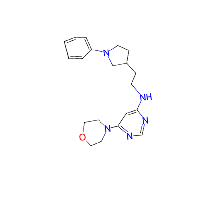 c1ccc(N2CCC(CCNc3cc(N4CCOCC4)ncn3)C2)cc1